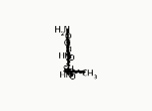 CCCCCCN1C(=O)NC2CS[C@@H](CCCCC(=O)NCCOCCOCCOCCN)[C@H]21